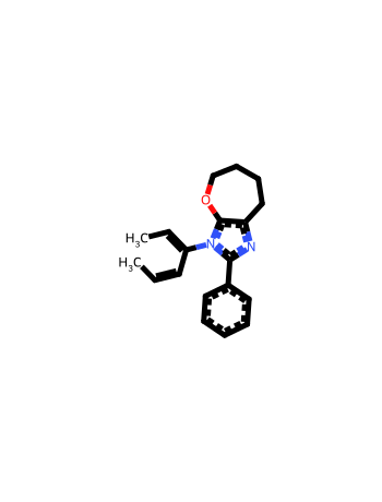 C/C=C\C(=C/C)n1c(-c2ccccc2)nc2c1OCCCC2